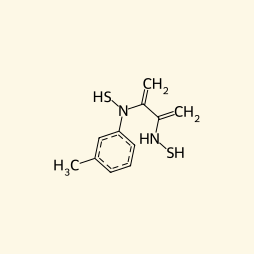 C=C(NS)C(=C)N(S)c1cccc(C)c1